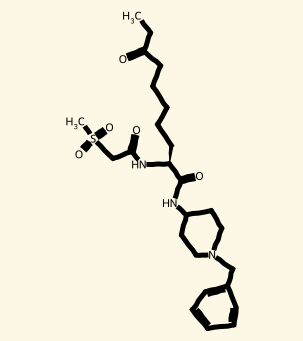 CCC(=O)CCCCC[C@H](NC(=O)CS(C)(=O)=O)C(=O)NC1CCN(Cc2ccccc2)CC1